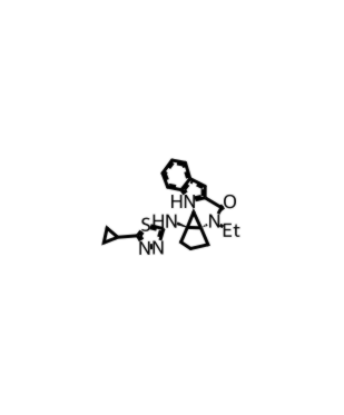 CCN(C(=O)c1cc2ccccc2[nH]1)[C@]12CCC[C@]1(Nc1nnc(C3CC3)s1)C2